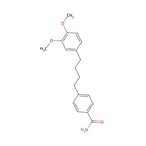 COc1ccc(CCCCc2ccc(C(N)=O)cc2)cc1OC